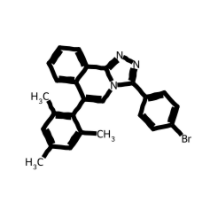 Cc1cc(C)c(-c2cn3c(-c4ccc(Br)cc4)nnc3c3ccccc23)c(C)c1